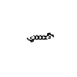 CCc1ccc(-c2cc3cc4cc(C)c(-c5ccc(CC)s5)cc4cc3cc2C)s1